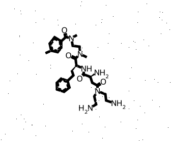 Cc1ccc(C(=O)N(C)CCN(C)C(=O)[C@H](CCc2ccccc2)NC(=O)[C@@H](N)CC(=O)N(CCN)CCN)cc1